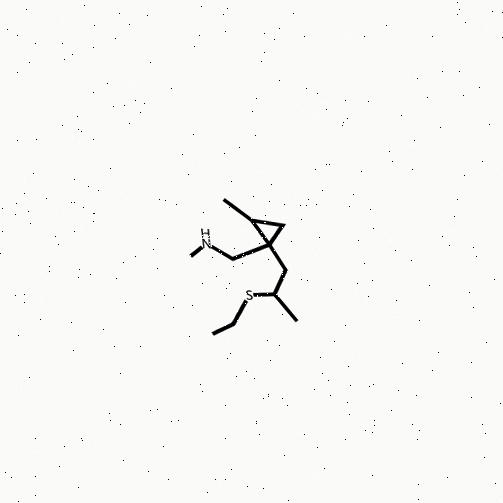 CCSC(C)CC1(CNC)CC1C